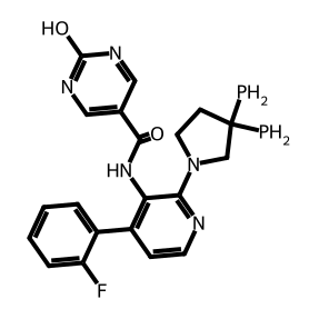 O=C(Nc1c(-c2ccccc2F)ccnc1N1CCC(P)(P)C1)c1cnc(O)nc1